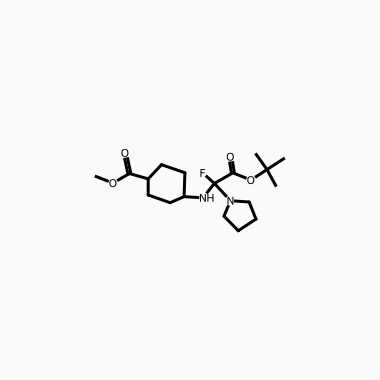 COC(=O)C1CCC(NC(F)(C(=O)OC(C)(C)C)N2CCCC2)CC1